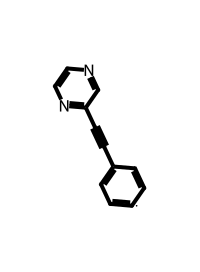 C(#Cc1cnccn1)c1cc[c]cc1